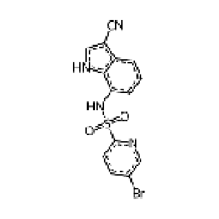 N#Cc1c[nH]c2c(NS(=O)(=O)c3ccc(Br)cn3)cccc12